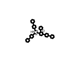 c1ccc(-c2ccc(C3=NC(c4ccc(-c5ccc(-c6ccccc6)cc5)c5oc6ccccc6c45)=NC(c4ccc(-c5ccccc5)cc4)N3)cc2)cc1